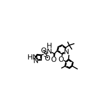 Cc1cc(C)c(Oc2nc(C(C)(C)C)ccc2C(=O)NS(=O)(=O)c2cn[nH]c2)c(C)c1